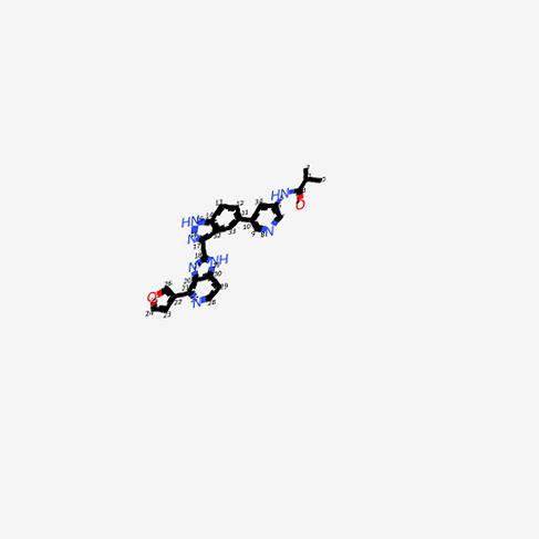 CC(C)C(=O)Nc1cncc(-c2ccc3[nH]nc(-c4nc5c(-c6ccoc6)nccc5[nH]4)c3c2)c1